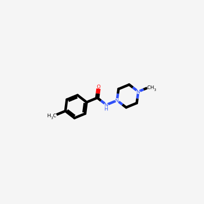 Cc1ccc(C(=O)NN2CCN(C)CC2)cc1